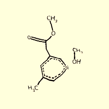 CO.COC(=O)c1cncc(C)c1